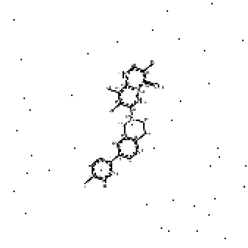 Cc1ccc(-c2cnc3c(c2)CN(c2nn4c(=O)c(C)cnc4c(C)c2C)CC3)cn1